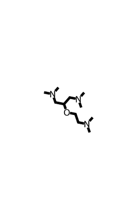 CN(C)CCOC(CN(C)C)CN(C)C